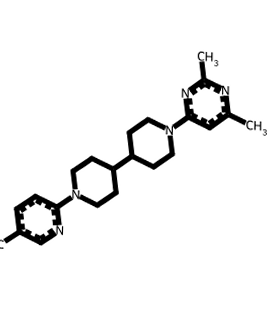 Cc1ccc(N2CCC(C3CCN(c4cc(C)nc(C)n4)CC3)CC2)nc1